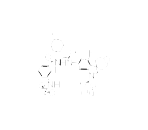 CC(C)(C)OC(=O)N1CC2(CCOCC2)c2c(F)cc(NC(=O)C(NC(=O)c3cccc(NS(C)(=O)=O)c3)[C@H]3CC[C@H](C)CC3)cc21